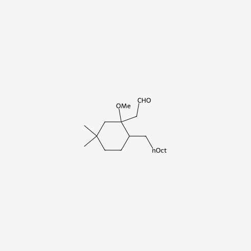 CCCCCCCCCC1CCC(C)(C)CC1(CC=O)OC